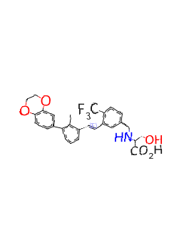 Cc1c(/C=C/c2cc(CNC(CO)C(=O)O)ccc2C(F)(F)F)cccc1-c1ccc2c(c1)OCCO2